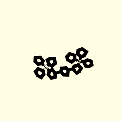 c1ccc([Si](c2ccccc2)(c2ccccc2)c2cccc(-c3ccc(-c4cccc([Si](c5ccccc5)(c5ccccc5)c5ccccc5)c4)cc3)c2)cc1